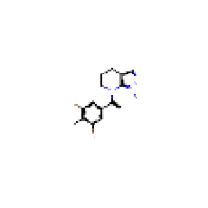 C=C(c1cc(Br)c(C)c(Br)c1)N1CCCc2cnn(C)c21